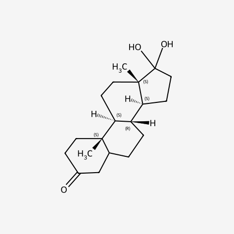 C[C@]12CCC(=O)CC1CC[C@@H]1[C@@H]2CC[C@@]2(C)[C@H]1CCC2(O)O